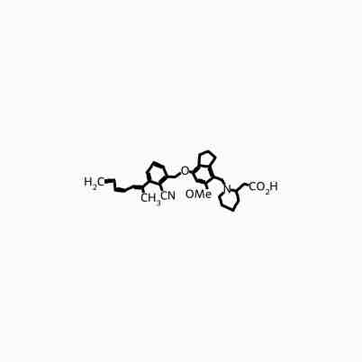 C=C/C=C\C=C(/C)c1cccc(COc2cc(OC)c(CN3CCCCC3CC(=O)O)c3c2CCC3)c1C#N